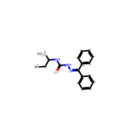 CC(C)CC(NC(=O)NN=C(c1ccccc1)c1ccccc1)C(=O)O